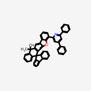 CC1(C)c2ccccc2C2(c3ccccc3-c3ccccc32)c2cc3oc4c(-c5cc(-c6ccccc6)cc(-c6ccccc6)n5)cccc4c3cc21